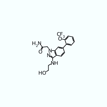 NC(=O)Cn1nc(NCCO)c2ccc(-c3ccccc3OC(F)(F)F)cc21